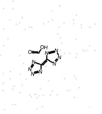 N1=NC(=C2N=NN=N2)N=N1.O=CO